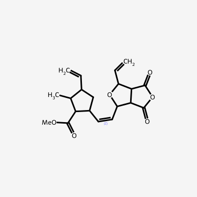 C=CC1CC(/C=C\C2OC(C=C)C3C(=O)OC(=O)C23)C(C(=O)OC)C1C